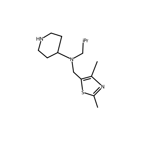 Cc1nc(C)c(CN(CC(C)C)C2CCNCC2)s1